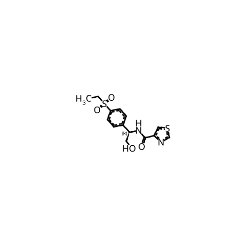 CCS(=O)(=O)c1ccc([C@H](CO)NC(=O)c2cscn2)cc1